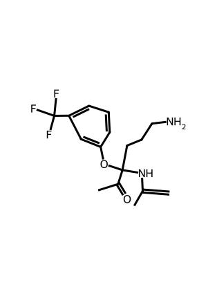 C=C(C)NC(CCCN)(Oc1cccc(C(F)(F)F)c1)C(C)=O